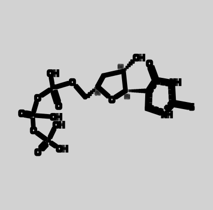 O=c1[nH]c(=S)[nH]cc1[C@@H]1O[C@H](COP(=O)(O)OP(=O)(O)OP(=O)(O)O)C[C@@H]1O